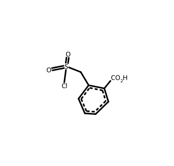 O=C(O)c1ccccc1CS(=O)(=O)Cl